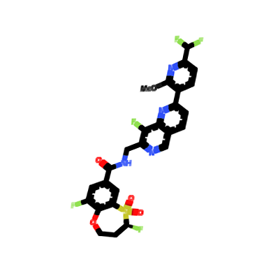 COc1nc(C(F)F)ccc1-c1ccc2cnc(CNC(=O)c3cc(F)c4c(c3)S(=O)(=O)[C@@H](F)CCO4)c(F)c2n1